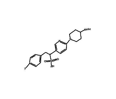 CCCS(=O)(=O)N(Cc1ccc(F)cc1)c1ccc(N2CCC(NC(C)=O)CC2)nc1